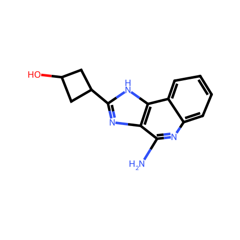 Nc1nc2ccccc2c2[nH]c(C3CC(O)C3)nc12